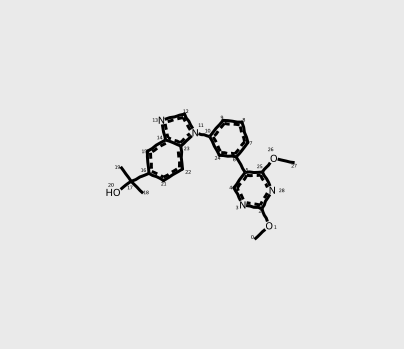 COc1ncc(-c2cccc(-n3cnc4cc(C(C)(C)O)ccc43)c2)c(OC)n1